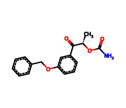 C[C@H](OC(N)=O)C(=O)c1cccc(OCc2ccccc2)c1